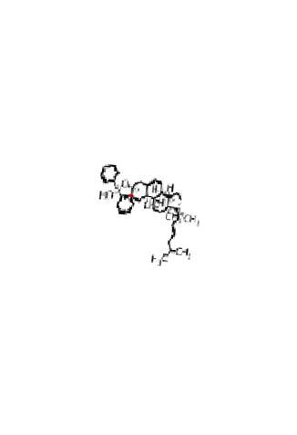 CC(C)CCC[C@@H](C)[C@H]1CC[C@H]2[C@@H]3CC=C4C[C@@H](O[Si](O)(c5ccccc5)c5ccccc5)CC[C@]4(C)[C@H]3CC[C@]12C